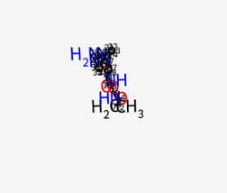 C=C(C)C(=O)NCCOC(=O)NCc1ccc(Cn2c(C3CCCC3)nc3c(N)nc4ccccc4c32)cc1